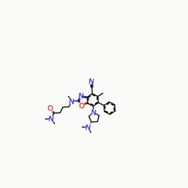 Cc1c(-c2ccccc2)c(N2CC[C@H](N(C)C)C2)c2oc(N(C)CCCC(=O)N(C)C)nc2c1C#N